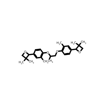 Cc1cc(C2OCC2(C)C)ccc1OCC(C)Oc1ccc(C2OCC2(C)C)cc1C